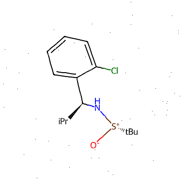 CC(C)[C@H](N[S@@+]([O-])C(C)(C)C)c1ccccc1Cl